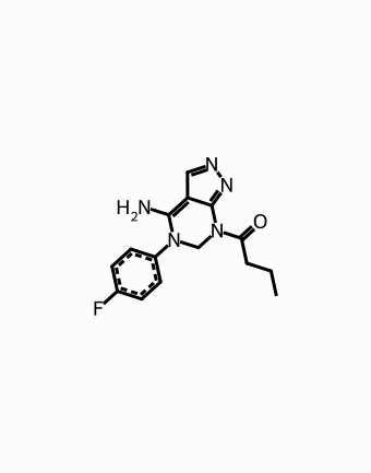 CCCC(=O)N1CN(c2ccc(F)cc2)C(N)=C2C=NN=C21